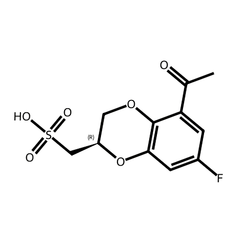 CC(=O)c1cc(F)cc2c1OC[C@H](CS(=O)(=O)O)O2